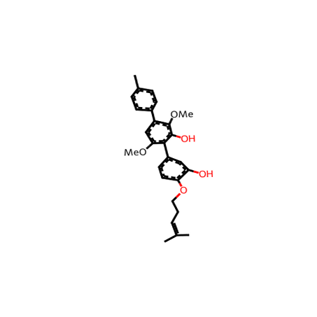 COc1cc(-c2ccc(C)cc2)c(OC)c(O)c1-c1ccc(OCCC=C(C)C)c(O)c1